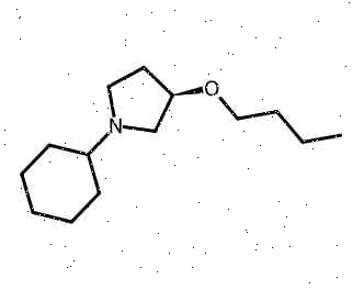 CCCCO[C@@H]1CCN(C2CCCCC2)C1